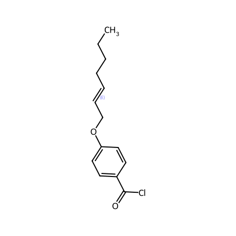 CCCC/C=C/COc1ccc(C(=O)Cl)cc1